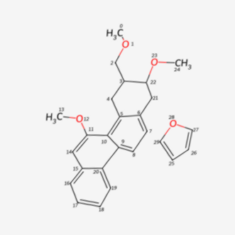 COCC1Cc2c(ccc3c2c(OC)cc2ccccc23)CC1OC.c1ccoc1